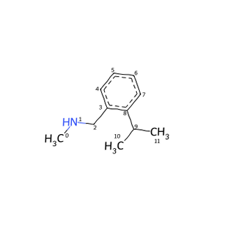 CNCc1ccccc1C(C)C